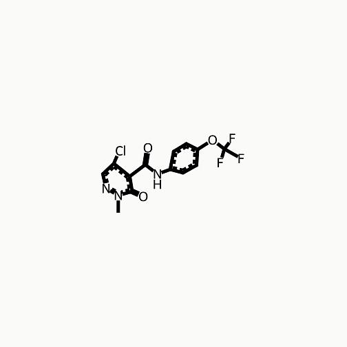 Cn1ncc(Cl)c(C(=O)Nc2ccc(OC(F)(F)F)cc2)c1=O